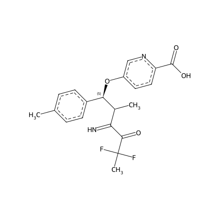 Cc1ccc([C@@H](Oc2ccc(C(=O)O)nc2)C(C)C(=N)C(=O)C(C)(F)F)cc1